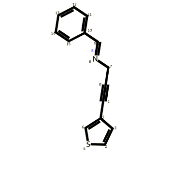 C(#Cc1ccsc1)C/N=C/c1ccccc1